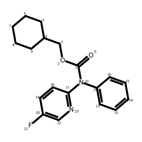 O=C(OCC1CCCCC1)N(c1ccccc1)c1ccc(F)cn1